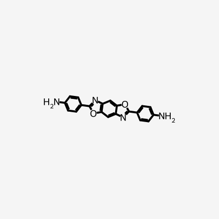 Nc1ccc(-c2nc3cc4oc(-c5ccc(N)cc5)nc4cc3o2)cc1